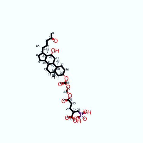 CC(=O)CC[C@@H](C)C1CCC2C3CC[C@@H]4C[C@H](OC(=O)OCOC(=O)CCC(CP(=O)(O)O)C(=O)O)CC[C@]4(C)C3C[C@H](O)[C@@]21C